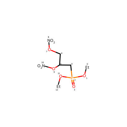 CCOP(=O)(CC(CO[N+](=O)[O-])O[N+](=O)[O-])OCC